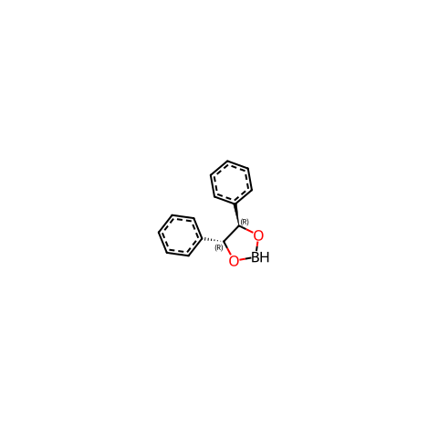 B1O[C@H](c2ccccc2)[C@@H](c2ccccc2)O1